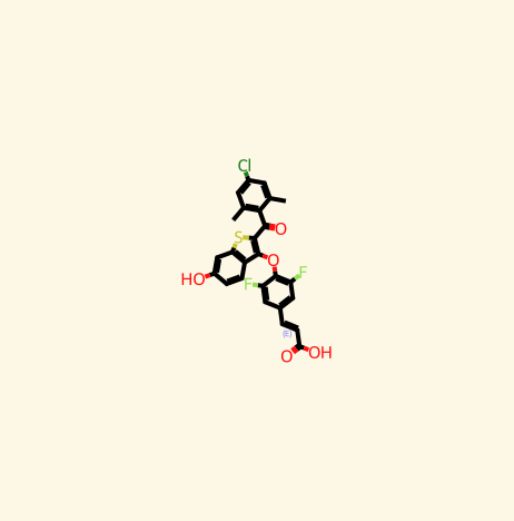 Cc1cc(Cl)cc(C)c1C(=O)c1sc2cc(O)ccc2c1Oc1c(F)cc(/C=C/C(=O)O)cc1F